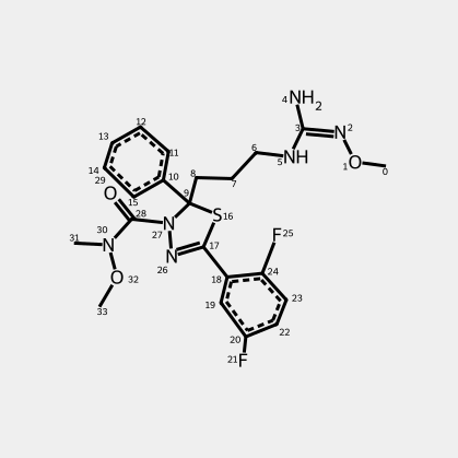 CO/N=C(/N)NCCCC1(c2ccccc2)SC(c2cc(F)ccc2F)=NN1C(=O)N(C)OC